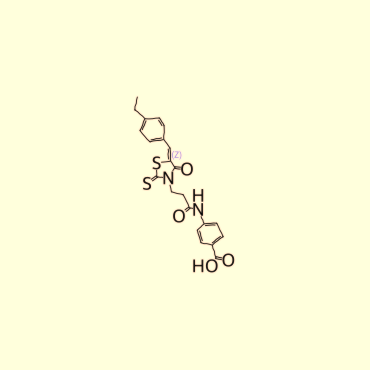 CCc1ccc(/C=C2\SC(=S)N(CCC(=O)Nc3ccc(C(=O)O)cc3)C2=O)cc1